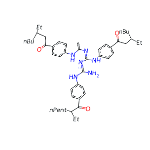 C=C(/N=C(\N=C(/N)Nc1ccc(C(=O)C(CC)CCCCC)cc1)Nc1ccc(C(=O)CC(CC)CCCC)cc1)Nc1ccc(C(=O)CC(CC)CCCC)cc1